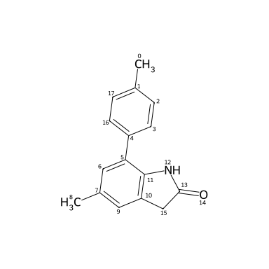 Cc1ccc(-c2cc(C)cc3c2NC(=O)C3)cc1